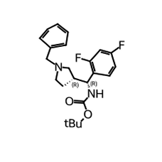 CC(C)(C)OC(=O)N[C@@H](c1ccc(F)cc1F)[C@@H]1CCN(Cc2ccccc2)C1